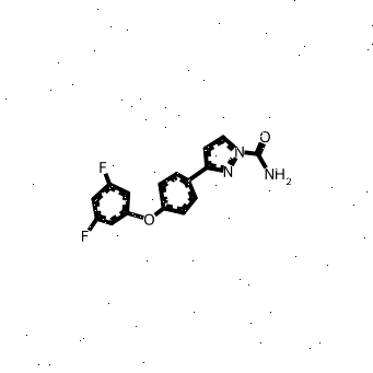 NC(=O)n1ccc(-c2ccc(Oc3cc(F)cc(F)c3)cc2)n1